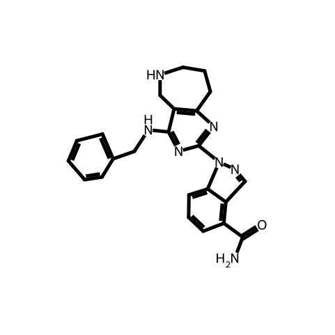 NC(=O)c1cccc2c1cnn2-c1nc2c(c(NCc3ccccc3)n1)CNCCC2